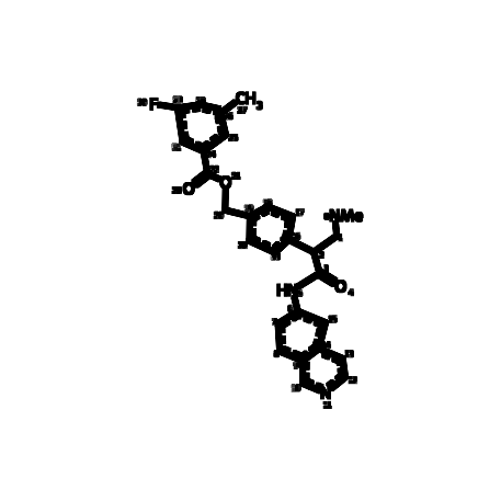 CNCC(C(=O)Nc1ccc2cnccc2c1)c1ccc(COC(=O)c2cc(C)cc(F)c2)cc1